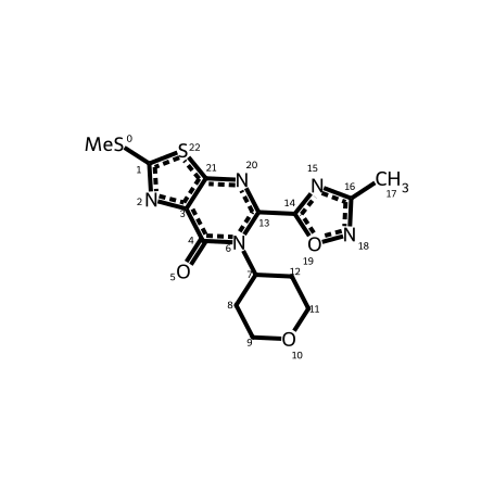 CSc1nc2c(=O)n(C3CCOCC3)c(-c3nc(C)no3)nc2s1